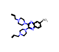 C=CCN1CCN(c2nc3ccc([N+](=O)[O-])cc3nc2N2CCN(CC=C)CC2)CC1